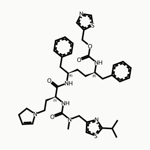 CC(C)c1nc(CN(C)C(=O)N[C@@H](CCN2C=CCC2)C(=O)N[C@H](CC[C@H](Cc2ccccc2)NC(=O)OCc2cncs2)Cc2ccccc2)cs1